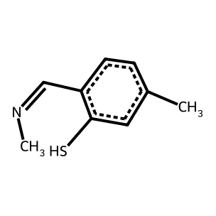 C/N=C\c1ccc(C)cc1S